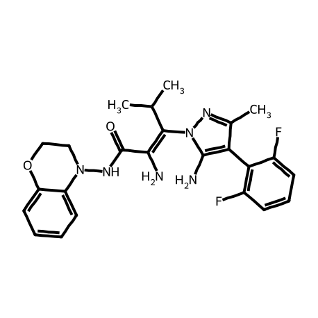 Cc1nn(/C(=C(\N)C(=O)NN2CCOc3ccccc32)C(C)C)c(N)c1-c1c(F)cccc1F